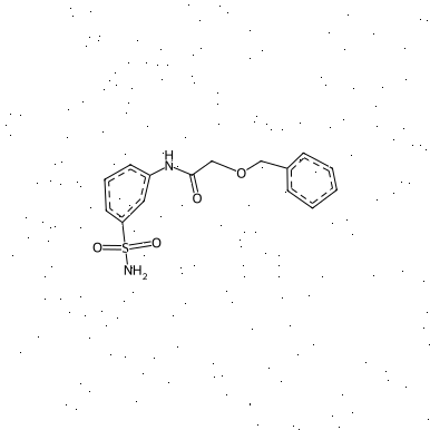 NS(=O)(=O)c1cccc(NC(=O)COCc2ccccc2)c1